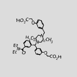 CCN(CC)C(=O)c1cccc(C(c2cccc(OCC(=O)O)c2)N2C[C@@H](C)N(Cc3cccc(OCC(=O)O)c3)C[C@@H]2C)c1